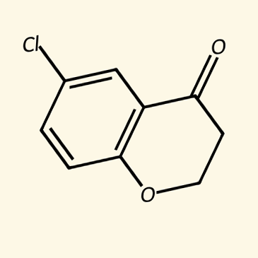 O=C1CCOc2ccc(Cl)cc21